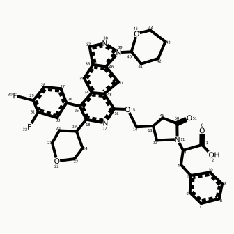 O=C(O)C(Cc1ccccc1)N1CC(COc2nc(C3CCOCC3)c(-c3ccc(F)c(F)c3)c3cc4cnn(C5CCCCO5)c4cc23)CC1=O